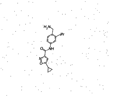 CC(C)c1cc(NC(=O)c2cc(C3CC3)on2)ccc1CN